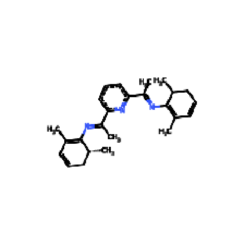 CC1=C(/N=C(\C)c2cccc(/C(C)=N/C3=C(C)C=CC[C@H]3C)n2)C(C)CC=C1